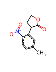 Cc1ccc([N+](=O)[O-])c(C2CCOC2=O)c1